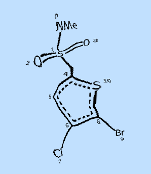 CNS(=O)(=O)c1cc(Cl)c(Br)s1